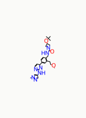 COCCc1cc(-c2ccnc(Nc3cnn(C)c3)n2)ccc1CNC(=O)N1CC(OC(C)(C)C)C1